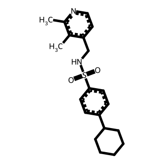 Cc1nccc(CNS(=O)(=O)c2ccc(C3CCCCC3)cc2)c1C